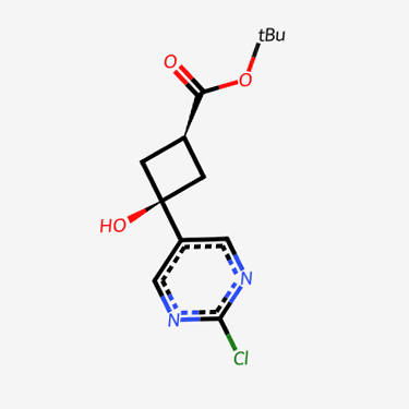 CC(C)(C)OC(=O)[C@H]1C[C@](O)(c2cnc(Cl)nc2)C1